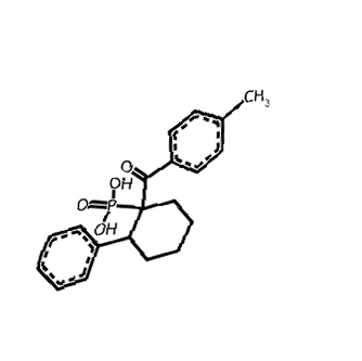 Cc1ccc(C(=O)C2(P(=O)(O)O)CCCCC2c2ccccc2)cc1